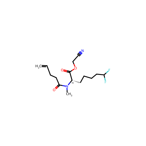 C=CCCC(=O)N(C)[C@@H](CCCCC(F)F)C(=O)OCC#N